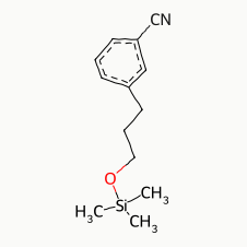 C[Si](C)(C)OCCCc1cccc(C#N)c1